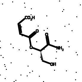 NC(=O)[C@H](CO)OC(=O)/C=C\C(=O)O